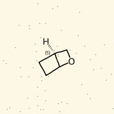 C1C[C@H]2COC12